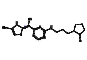 CC(C)(C)C1=CS/C(=C(/C#N)c2ccnc(NCCCN3CCCC3=O)n2)N1